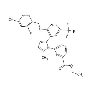 CCOC(=O)c1cccc(-n2c(C)ccc2-c2cc(C(F)(F)F)ccc2OCc2ccc(Cl)cc2F)n1